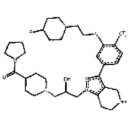 O=C(C1CCN(CC(O)Cn2nc(-c3ccc(C(F)(F)F)c(SCCN4CCC(F)CC4)c3)c3c2CCNC3)CC1)N1CCCC1